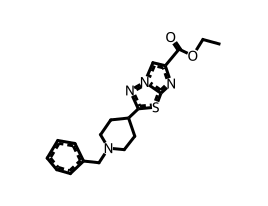 CCOC(=O)c1cn2nc(C3CCN(Cc4ccccc4)CC3)sc2n1